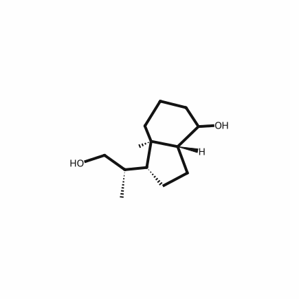 C[C@H](CO)[C@H]1CC[C@H]2C(O)CCC[C@]12C